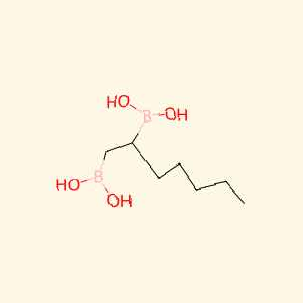 CCCCCC(CB(O)O)B(O)O